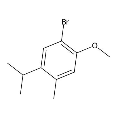 COc1cc(C)c(C(C)C)cc1Br